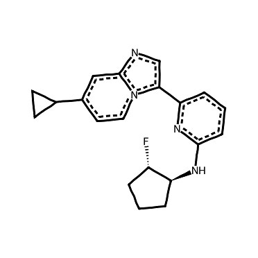 F[C@H]1CCC[C@@H]1Nc1cccc(-c2cnc3cc(C4CC4)ccn23)n1